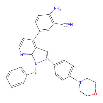 N#Cc1cc(-c2ccnc3c2cc(-c2ccc(N4CCOCC4)cc2)n3Sc2ccccc2)ccc1N